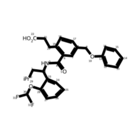 CC(C)CC(NC(=O)c1cc(COc2ccccc2)ccc1CCC(=O)O)c1ccccc1OC(F)F